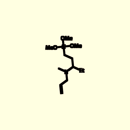 C=CCN(C)C(CC)CC[Si](OC)(OC)OC